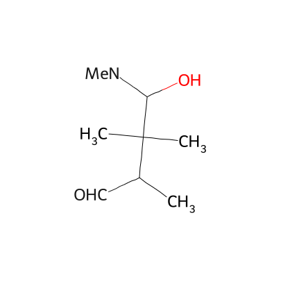 CNC(O)C(C)(C)C(C)C=O